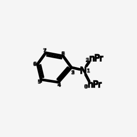 CCCN(CCC)c1c[c]ccc1